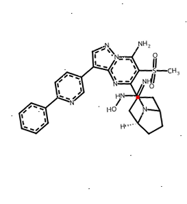 CS(=O)(=O)c1c(C2CC3CC[C@@H](C2)N3C(=N)NO)nc2c(-c3ccc(-c4ccccc4)nc3)cnn2c1N